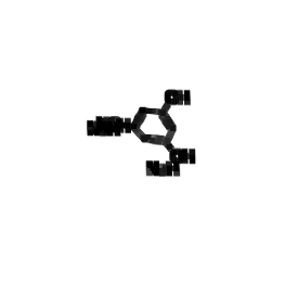 Oc1cc(O)cc(O)c1.[NaH].[NaH].[NaH]